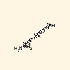 CCCNC(=O)CCOCCOCCOCCOCCOCCC(=O)NCCCOCCOCCOCCCNC(=O)[C@@H](N)CCCCN